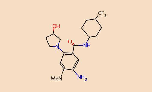 CNc1cc(N2CCC(O)C2)c(C(=O)NC2CCC(C(F)(F)F)CC2)cc1N